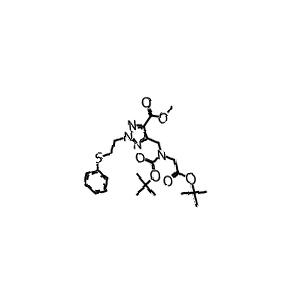 COC(=O)c1nn(CCSc2ccccc2)nc1CN(CC(=O)OC(C)(C)C)C(=O)OC(C)(C)C